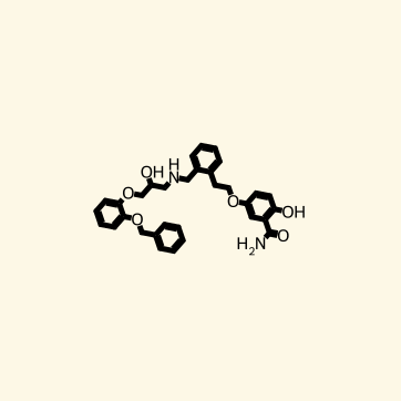 NC(=O)c1cc(OCCc2ccccc2CNCC(O)COc2ccccc2OCc2ccccc2)ccc1O